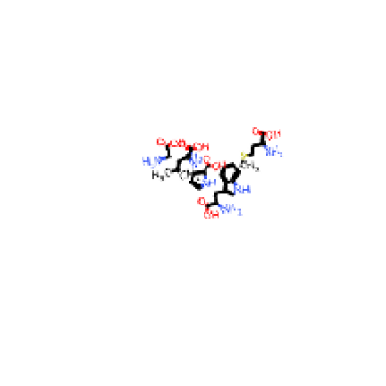 CC(C)CC(N)C(=O)O.CSCCC(N)C(=O)O.NC(Cc1c[nH]c2ccccc12)C(=O)O.NCC(=O)O.O=C(O)[C@@H]1CCCN1